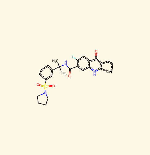 CC(C)(NC(=O)c1cc2[nH]c3ccccc3c(=O)c2cc1F)c1cccc(S(=O)(=O)N2CCCC2)c1